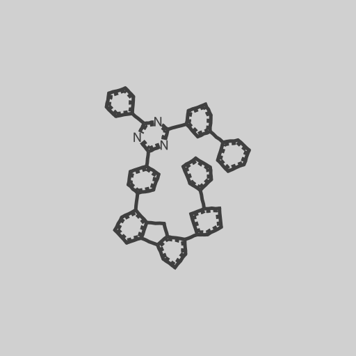 c1ccc(-c2cccc(-c3nc(-c4ccccc4)nc(-c4ccc(-c5cccc6c5Cc5c(-c7cccc(-c8ccccc8)c7)cccc5-6)cc4)n3)c2)cc1